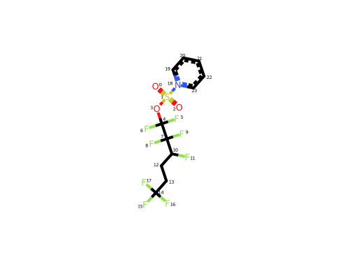 O=S(=O)(OC(F)(F)C(F)(F)C(F)CCC(F)(F)F)[n+]1ccccc1